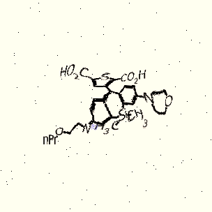 CCCOCC/N=C1\C=CC2=C(c3cc(C(=O)O)sc3C(=O)O)c3ccc(N4CCOCC4)cc3[Si](C)(C)C2=C1